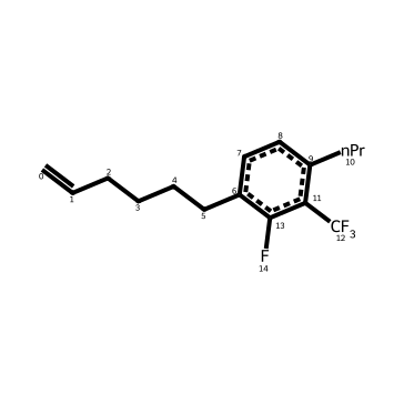 C=CCCCCc1ccc(CCC)c(C(F)(F)F)c1F